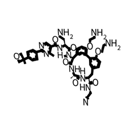 Cc1nc(-c2ccc(C3(C)COC3)cc2)ncc1C(=O)N[C@@H](CCN)C(=O)N(C)[C@@H]1C(=O)N[C@@H](C)C(=O)N[C@H](C(=O)NCC#N)Cc2ccc(OCCN)c(c2)-c2cc1ccc2OCCN